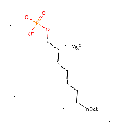 CCCCCCCCCCCCCCCOP(=O)([O-])[O-].[Mg+2]